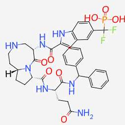 NC(=O)CC[C@H](NC(=O)[C@@H]1CC[C@@H]2CCNC[C@H](NC(=O)c3cc4cc(C(F)(F)P(=O)(O)O)ccc4[nH]3)C(=O)N21)C(=O)NC(c1ccccc1)c1ccccc1